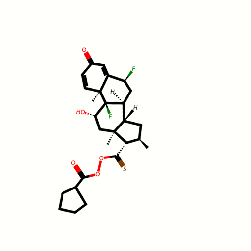 C[C@@H]1C[C@H]2[C@@H]3C[C@H](F)C4=CC(=O)C=C[C@]4(C)[C@@]3(F)[C@@H](O)C[C@]2(C)[C@H]1C(=S)OOC(=O)C1CCCC1